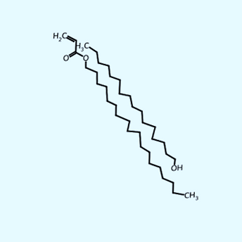 C=CC(=O)OCCCCCCCCCCCCCCCCCC.CCCCCCCCCCCCCCCCO